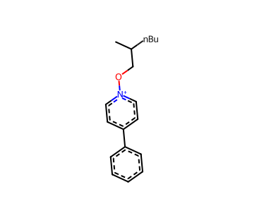 CCCCC(C)CO[n+]1ccc(-c2ccccc2)cc1